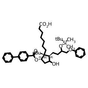 CCCC[C@]1(CCCCCCC(=O)O)[C@@H](OC(=O)c2ccc(-c3ccccc3)cc2)CC(O)[C@@H]1CCC(COc1ccccc1)O[Si](C)(C)C(C)(C)C